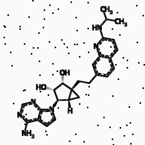 CC(C)Nc1ccc2ccc(CC[C@@]34C[C@@H]3[C@@H](n3ccc5c(N)ncnc53)[C@H](O)[C@@H]4O)cc2n1